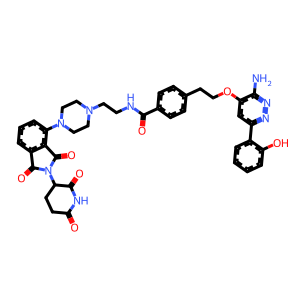 Nc1nnc(-c2ccccc2O)cc1OCCc1ccc(C(=O)NCCN2CCN(c3cccc4c3C(=O)N(C3CCC(=O)NC3=O)C4=O)CC2)cc1